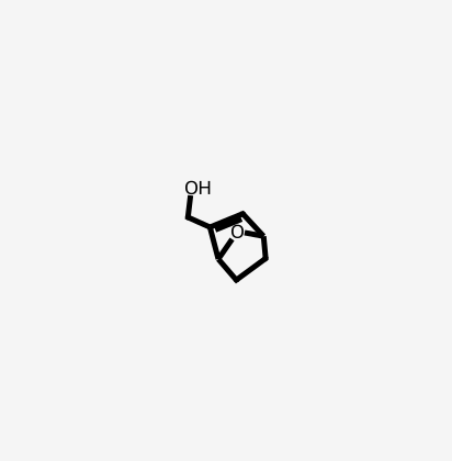 OCC1=CC2CCC1O2